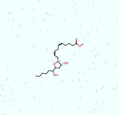 CCCCCC(O)C1C[C@@H](O)[C@H](C/C=C\C/C=C\CCCC(=O)OC)O1